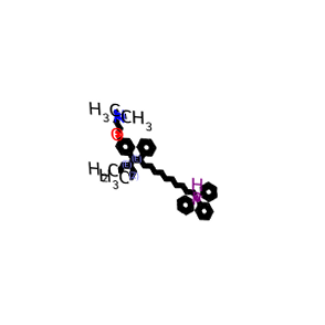 C=C/C=C(\C=C/C)C(=C(\CCCCCCCCCC[PH](c1ccccc1)(c1ccccc1)c1ccccc1)c1ccccc1)/c1ccc(OCCN(C)C)cc1